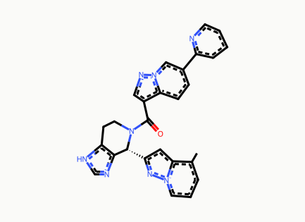 Cc1cccn2nc([C@@H]3c4nc[nH]c4CCN3C(=O)c3cnn4cc(-c5ccccn5)ccc34)cc12